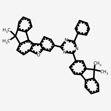 CC1(C)c2ccccc2-c2ccc(-c3nc(-c4ccccc4)nc(-c4ccc5c(c4)oc4ccc6c(c45)-c4ccccc4C6(C)C)n3)cc21